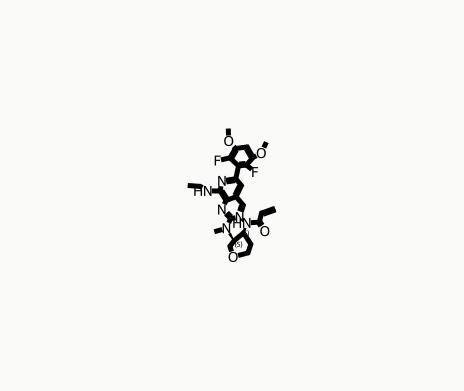 C=CC(=O)N[C@H]1CCOC[C@H]1N(C)c1ncc2cc(-c3c(F)c(OC)cc(OC)c3F)nc(NCC)c2n1